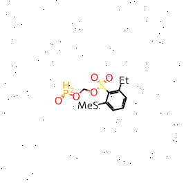 CCc1cccc(SC)c1S(=O)(=O)OCO[PH2]=O